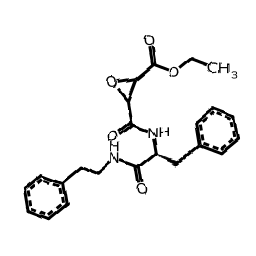 CCOC(=O)C1OC1C(=O)N[C@@H](Cc1ccccc1)C(=O)NCCc1ccccc1